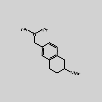 CCCN(CCC)Cc1ccc2c(c1)CCC(NC)C2